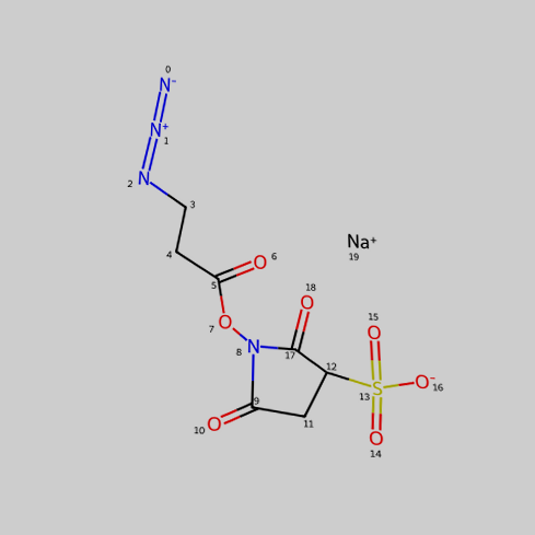 [N-]=[N+]=NCCC(=O)ON1C(=O)CC(S(=O)(=O)[O-])C1=O.[Na+]